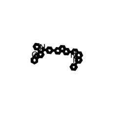 C1=CC2N=C(C3=CCC(C4C=Cc5c(ccc6cc(C7=NC8c9nc(-c%10ccccc%10)ccc9C=CC8C=C7)ccc56)C4)C=C3)c3ccc4c5c(oc4c3C2C=C1)C=CCC5